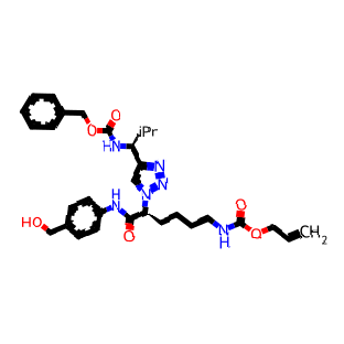 C=CCOC(=O)NCCCC[C@@H](C(=O)Nc1ccc(CO)cc1)n1cc([C@@H](NC(=O)OCc2ccccc2)C(C)C)nn1